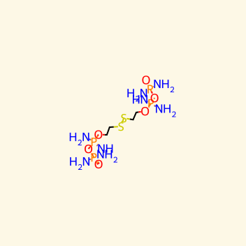 N=P(N)(OCCSSCCOP(=N)(N)OP(N)(N)=O)OP(N)(N)=O